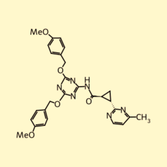 COc1ccc(COc2nc(NC(=O)[C@H]3C[C@@H]3c3nccc(C)n3)nc(OCc3ccc(OC)cc3)n2)cc1